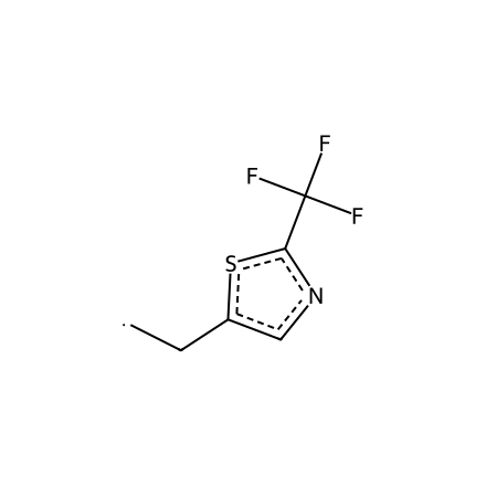 [CH2]Cc1cnc(C(F)(F)F)s1